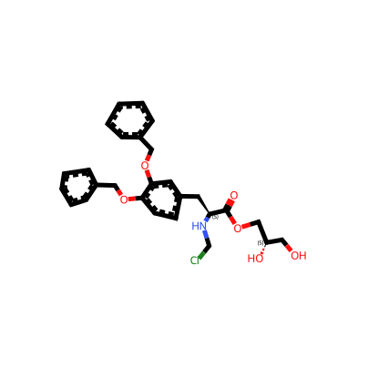 O=C(OC[C@@H](O)CO)[C@H](Cc1ccc(OCc2ccccc2)c(OCc2ccccc2)c1)NCCl